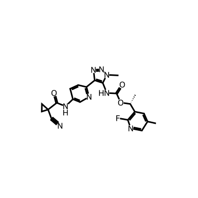 Cc1cnc(F)c([C@@H](C)OC(=O)Nc2c(-c3ccc(NC(=O)C4(C#N)CC4)cn3)nnn2C)c1